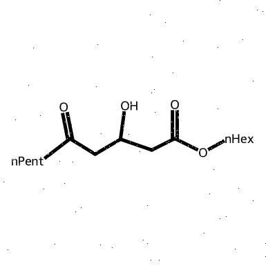 CCCCCCOC(=O)CC(O)CC(=O)CCCCC